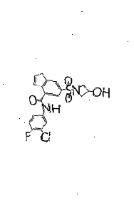 O=C(Nc1ccc(F)c(Cl)c1)c1cc(S(=O)(=O)N2CC(O)C2)cc2c1C=CC2